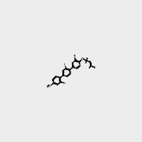 CCCc1ccc(-c2ccc(-c3ccc(OC(F)(F)C=C(F)F)c(F)c3)c(F)c2)c(F)c1